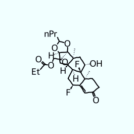 CCCC1O[C@@H]2C[C@H]3[C@@H]4C[C@H](F)C5=CC(=O)CC[C@]5(C)[C@@]4(F)[C@@H](O)C[C@]3(C)[C@]2(C(=O)COC(=O)CC)O1